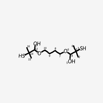 CC(C)(S)C(O)OCCCCOC(O)C(C)(C)S